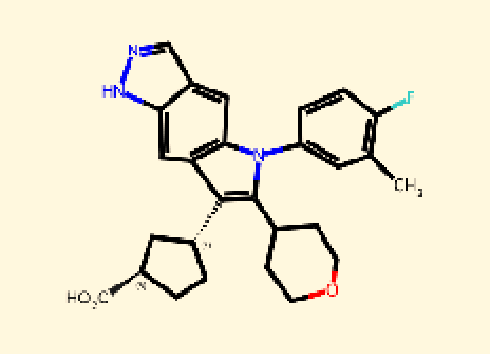 Cc1cc(-n2c(C3CCOCC3)c([C@@H]3CC[C@@H](C(=O)O)C3)c3cc4[nH]ncc4cc32)ccc1F